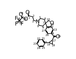 O=C(CCN1CCC2(CC1)COc1cc(C(=O)C3CC3c3ccccc3)ccc12)OC(=O)C(F)(F)F